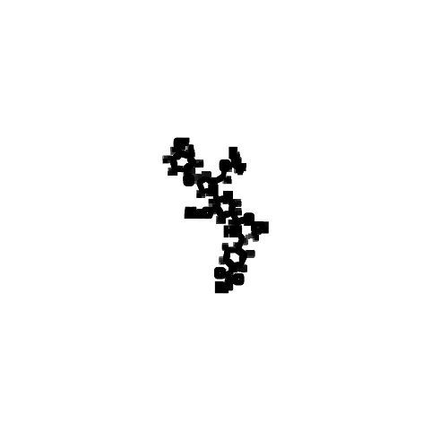 CCS(=O)(=O)c1ccc([C@@H](CC#N)NC(=O)c2cnc(N3C[C@H](Oc4ccc(C(F)(F)F)cc4)C[C@H]3COC(F)F)c(OC)c2)cc1